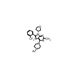 CC(=O)N1CCN(c2nc(C)nc3c2nc(-c2ccccc2C(F)(F)F)n3[C@@H]2CCOC2)CC1